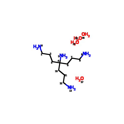 NCCCC(N)(CCCN)CCCN.O.O.O.O